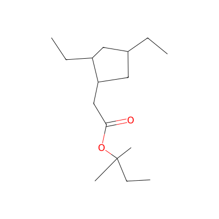 CCC1CC(CC)C(CC(=O)OC(C)(C)CC)C1